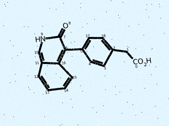 O=C(O)Cc1ccc(-c2c(=O)[nH]cc3ccccc23)cc1